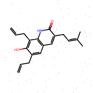 C=CCc1cc2cc(CC=C(C)C)c(=O)[nH]c2c(CC=C)c1O